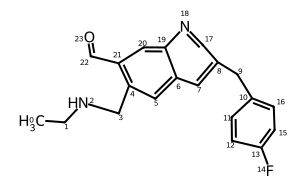 CCNCc1cc2cc(Cc3ccc(F)cc3)cnc2cc1C=O